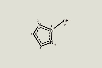 CC[CH]n1nccn1